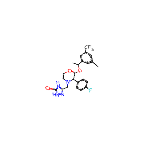 Cc1cc(C(C)OC2OCCN(Cc3n[nH]c(=O)[nH]3)C2c2ccc(F)cc2)cc(C(F)(F)F)c1